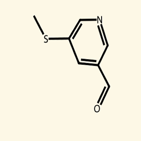 CSc1cncc(C=O)c1